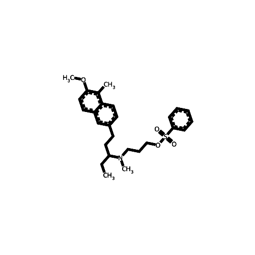 CCC(CCc1ccc2c(C)c(OC)ccc2c1)N(C)CCCOS(=O)(=O)c1ccccc1